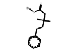 CCSC(=O)CC(C)(C)CCc1ccccc1